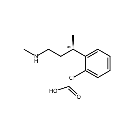 CNCC[C@@H](C)c1ccccc1Cl.O=CO